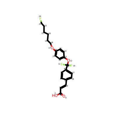 O=C(O)/C=C/c1ccc(C(F)(F)Oc2ccc(OCCCCCCF)cc2)cc1